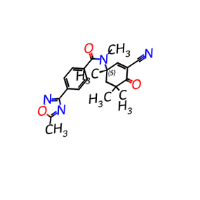 Cc1nc(-c2ccc(C(=O)N(C)[C@]3(C)C=C(C#N)C(=O)C(C)(C)C3)cc2)no1